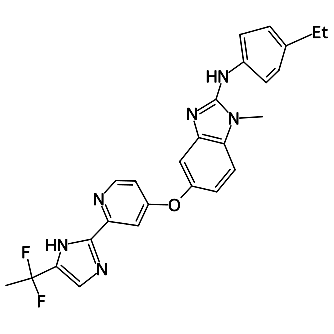 CCc1ccc(Nc2nc3cc(Oc4ccnc(-c5ncc(C(C)(F)F)[nH]5)c4)ccc3n2C)cc1